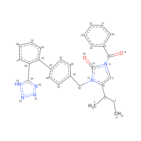 CCC(C)c1cn(C(=O)c2ccccc2)c(=O)n1Cc1ccc(-c2ccccc2-c2nnn[nH]2)cc1